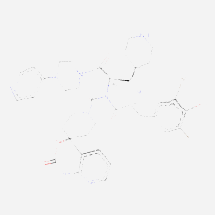 N[C@H](Cc1cc(Br)c(O)c(Br)c1)C(=O)N(C(=O)N1CCC2(CC1)OC(=O)Nc1ncccc12)[C@H](CC1CCNCC1)C(=O)N1CCN(c2ccncc2)CC1